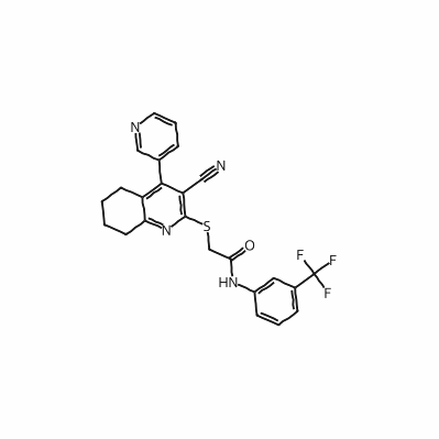 N#Cc1c(SCC(=O)Nc2cccc(C(F)(F)F)c2)nc2c(c1-c1cccnc1)CCCC2